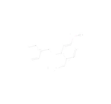 C=C/C(=C\C)COc1cc(OCC)ccc1CC(=O)O